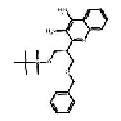 CC(C)(C)[Si](C)(C)OC[C@H](COCc1ccccc1)c1nc2ccccc2c(N)c1N